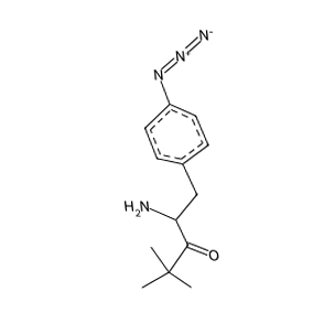 CC(C)(C)C(=O)C(N)Cc1ccc(N=[N+]=[N-])cc1